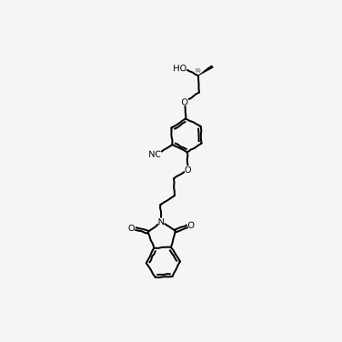 C[C@H](O)COc1ccc(OCCCN2C(=O)c3ccccc3C2=O)c(C#N)c1